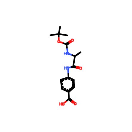 CC(NC(=O)OC(C)(C)C)C(=O)Nc1ccc(C(=O)O)cc1